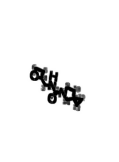 O=C(NC[C@@H]1CCO1)N1CCC2(CC2)C1